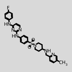 Cc1ccc(CNC2CCN(S(=O)(=O)c3ccc(Nc4nccc(Nc5ccc(F)cc5)n4)cc3)CC2)nc1